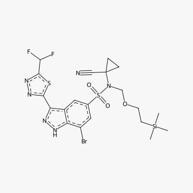 C[Si](C)(C)CCOCN(C1(C#N)CC1)S(=O)(=O)c1cc(Br)c2[nH]nc(-c3nnc(C(F)F)s3)c2c1